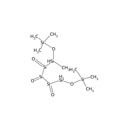 C[SiH](O[Si](C)(C)C)[Si](=O)[Si](=O)[Si](=O)[SiH2]O[Si](C)(C)C